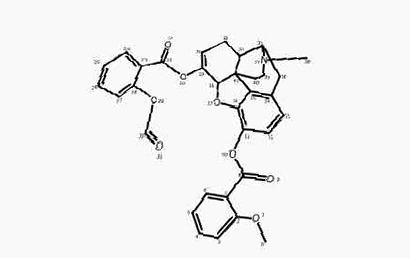 COc1ccccc1C(=O)Oc1ccc2c3c1OC1C(OC(=O)c4ccccc4OC=O)=CCC4C(C2)N(C)CCC314